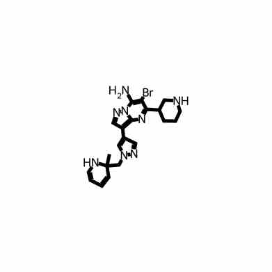 CC1(Cn2cc(-c3cnn4c(N)c(Br)c(C5CCCNC5)nc34)cn2)C=CC=CN1